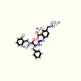 Cc1c(CNC(=O)O)ccc2nc(N[C@@H](Cc3ccccc3)C(=O)N(C)Cc3ccccc3Cl)oc(=O)c12